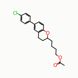 CC(=O)OCCCCC1CCc2cc(-c3ccc(Cl)cc3)ccc2O1